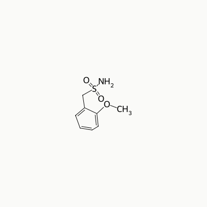 COc1ccccc1CS(N)(=O)=O